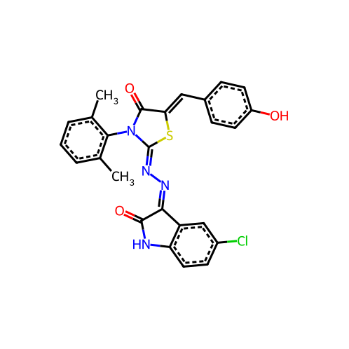 Cc1cccc(C)c1N1C(=O)C(=Cc2ccc(O)cc2)SC1=NN=C1C(=O)Nc2ccc(Cl)cc21